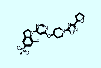 CS(=O)(=O)c1cc(F)c2c(c1)CCN2c1cc(OC2CCN(c3nc(C4CCCO4)no3)CC2)ncn1